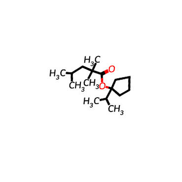 CC(C)CC(C)(C)C(=O)OC1(C(C)C)CCCC1